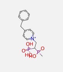 CP(=O)(O)C(C[n+]1ccc(Cc2ccccc2)cc1)P(=O)(O)O